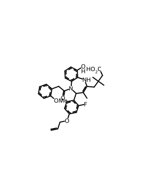 C=CCOc1ccc(C2C(C)=C(CC(C)(C)CC(=O)O)Nc3c(O)cccc3N2C(=O)Cc2ccccc2OC)c(F)c1